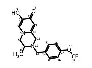 CC1Cn2cc(O)c(=O)cc2CN1Cc1ccc(OC(F)(F)F)cc1